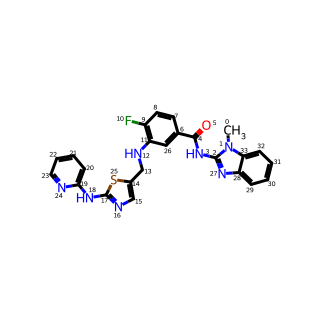 Cn1c(NC(=O)c2ccc(F)c(NCc3cnc(Nc4ccccn4)s3)c2)nc2ccccc21